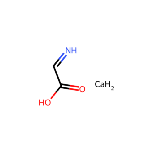 N=CC(=O)O.[CaH2]